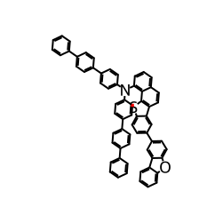 c1ccc(-c2ccc(-c3ccc(N(c4ccc(-c5ccc(-c6ccccc6)cc5)cc4)c4cccc5ccc6c7cc(-c8ccc9oc%10ccccc%10c9c8)ccc7sc6c45)cc3)cc2)cc1